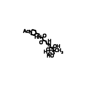 CC(=O)N1CCC(CNC(=O)C(=O)CCNC(=O)[C@H](O)C(C)(C)CO)CC1